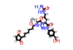 CC(C)[C@H](NC(=O)CCCCCC1C(=O)C=CC1=O)C(=O)N[C@@H](CCCNC(N)=O)C(=O)Nc1ccc(CO)cc1